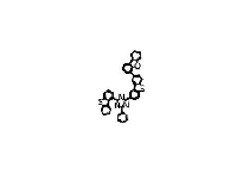 c1ccc(-c2nc(-c3ccc4sc5ccc(-c6cccc7c6oc6ccccc67)cc5c4c3)nc(-c3cccc4sc5ccccc5c34)n2)cc1